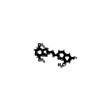 Cc1cc(F)cc2ccc(C=Cc3nc4c(C)ncc(C)n4n3)nc12